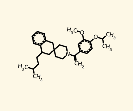 C=C(c1ccc(OC(C)C)c(OC)c1)N1CCC2(CC1)Cc1ccccc1C(CCC(C)C)C2